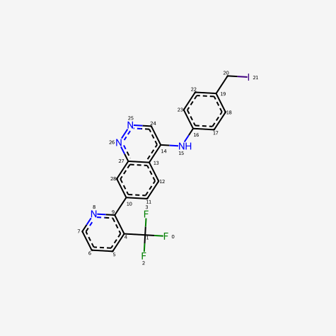 FC(F)(F)c1cccnc1-c1ccc2c(Nc3ccc(CI)cc3)cnnc2c1